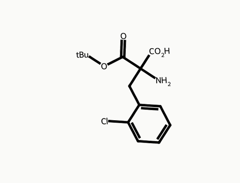 CC(C)(C)OC(=O)C(N)(Cc1ccccc1Cl)C(=O)O